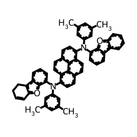 Cc1cc(C)cc(N(c2ccc3ccc4c(N(c5cc(C)cc(C)c5)c5cccc6c5oc5ccccc56)ccc5ccc2c3c54)c2cccc3c4c(oc23)C=CCC4)c1